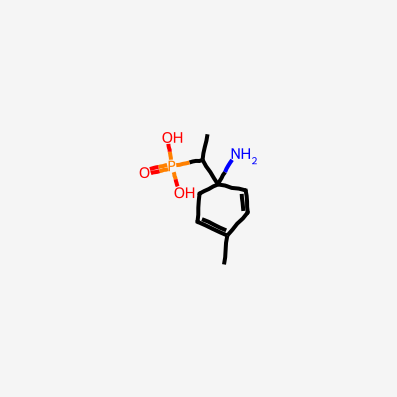 CC1=CCC(N)(C(C)P(=O)(O)O)C=C1